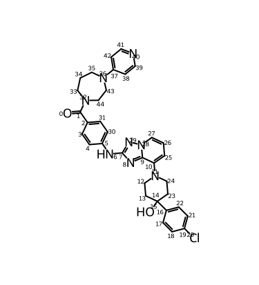 O=C(c1ccc(Nc2nc3c(N4CCC(O)(c5ccc(Cl)cc5)CC4)cccn3n2)cc1)N1CCCN(c2ccncc2)CC1